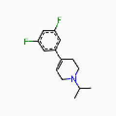 CC(C)N1CC=C(c2cc(F)cc(F)c2)CC1